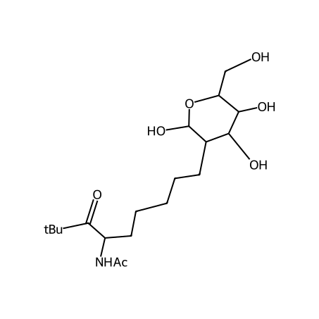 CC(=O)NC(CCCCCC1C(O)OC(CO)C(O)C1O)C(=O)C(C)(C)C